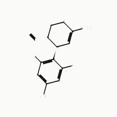 C=C[C@@H]1CCC(C)=C[C@H]1c1c(O)cc(CCC)cc1O